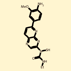 CCNC(=O)N(S)c1cnc2ccc(-c3ccc(N)c(OC)c3)nc2n1